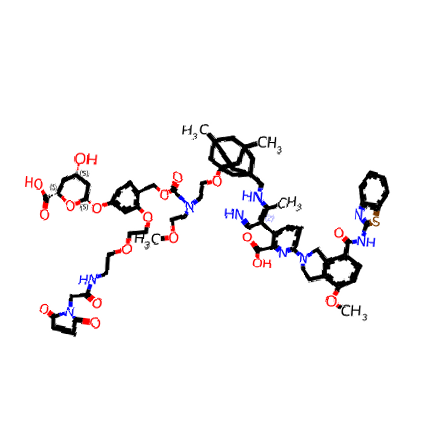 COCCN(CCOC12CC3(C)CC(C)(CC(CN/C(C)=C(\C=N)c4ccc(N5CCc6c(OC)ccc(C(=O)Nc7nc8ccccc8s7)c6C5)nc4C(=O)O)(C3)C1)C2)C(=O)OCc1ccc(O[C@H]2C[C@@H](O)C[C@@H](C(=O)O)O2)cc1OCCOCCNC(=O)CN1C(=O)C=CC1=O